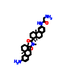 CN(C(=O)[C@@]1(C)CCC[C@]2(C)c3cc(N)ccc3CC[C@@H]12)C(=O)[C@@]1(C)CCC[C@]2(C)c3cc(NC(=O)CN)ccc3CC[C@@]12C